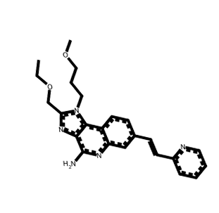 CCOCc1nc2c(N)nc3cc(C=Cc4ccccn4)ccc3c2n1CCCOC